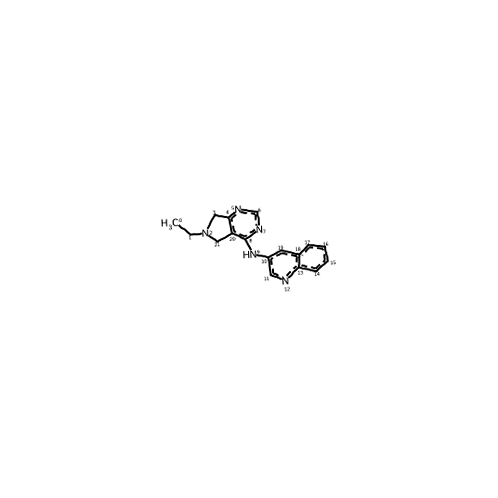 CCN1Cc2ncnc(Nc3cnc4ccccc4c3)c2C1